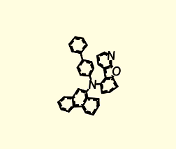 c1ccc(-c2ccc(N(c3cc4ccccc4c4ccccc34)c3cccc4oc5ncccc5c34)cc2)cc1